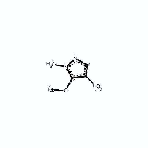 CCOc1c([N+](=O)[O-])cnn1C